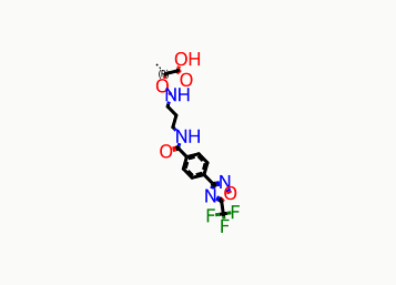 C[C@@H](ONCCCNC(=O)c1ccc(-c2noc(C(F)(F)F)n2)cc1)C(=O)O